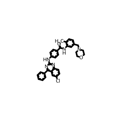 Cc1ccc(CN2CCOCC2)cc1NC(=O)c1ccc(Nc2nc(-c3ccccc3)c3cc(Cl)ccc3n2)cc1